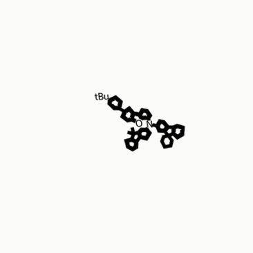 CC(C)(C)c1ccc(-c2ccc3oc4c(N(c5ccc6c(c5)C(C)(C)c5ccccc5-6)c5ccc6c(c5)C5(CCCCC5)c5ccccc5-6)cccc4c3c2)cc1